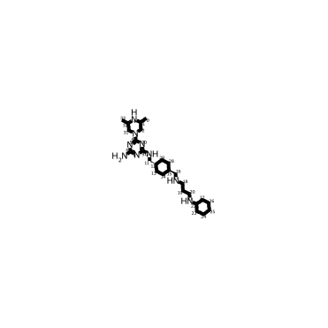 CC1CN(c2nc(N)nc(NC[C@H]3CC[C@H](CNCCCNC4CCCCC4)CC3)n2)CC(C)N1